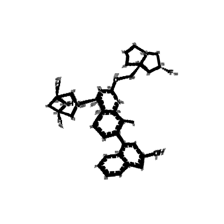 Cc1c(-c2cc(O)cc3ccccc23)ccc2c(N3C[C@H]4C[C@@H](C3)N4)nc(OC[C@@]34CCCN3C[C@H](F)C4)nc12